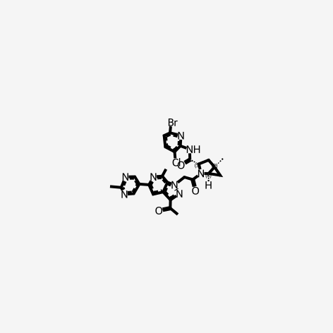 CC(=O)c1nn(CC(=O)N2[C@H](C(=O)Nc3nc(Br)ccc3Cl)C[C@@]3(C)C[C@@H]23)c2c(C)nc(-c3cnc(C)nc3)cc12